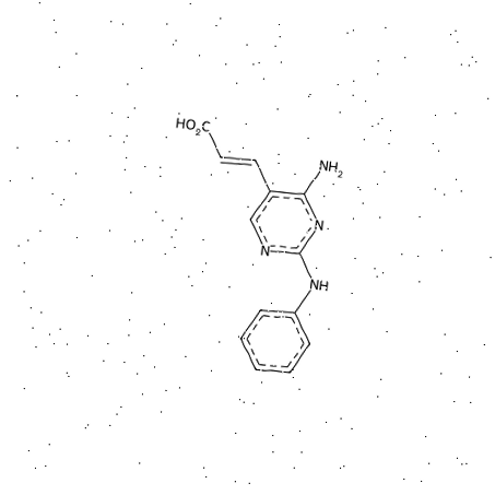 Nc1nc(Nc2ccccc2)ncc1C=CC(=O)O